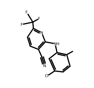 Cc1ccc(Cl)cc1Nc1nc(C(F)(F)F)ccc1C#N